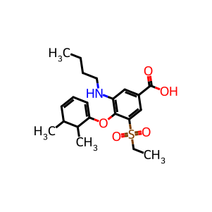 CCCCNc1cc(C(=O)O)cc(S(=O)(=O)CC)c1OC1=CC=CC(C)C1C